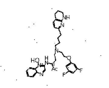 CC(=O)[C@H](CCN(CCCCc1ccc2c(n1)NCCC2)CCOc1cc(F)cc(F)c1)Nc1cnc2ccccc2[n+]1O